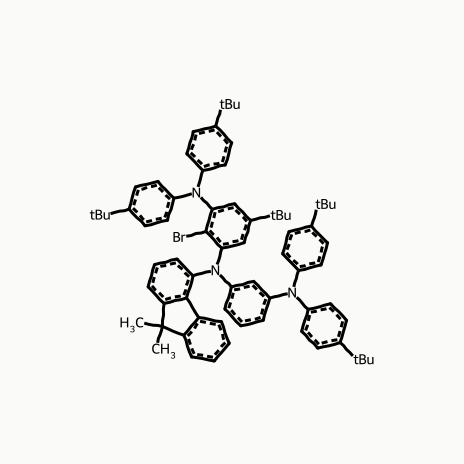 CC(C)(C)c1ccc(N(c2ccc(C(C)(C)C)cc2)c2cccc(N(c3cc(C(C)(C)C)cc(N(c4ccc(C(C)(C)C)cc4)c4ccc(C(C)(C)C)cc4)c3Br)c3cccc4c3-c3ccccc3C4(C)C)c2)cc1